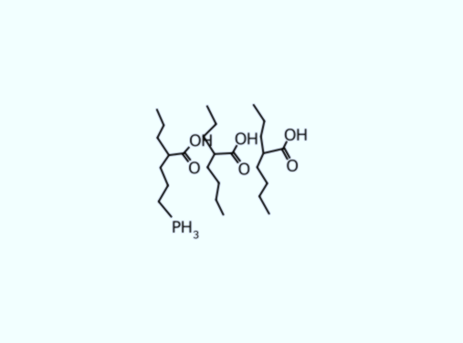 CCCCC(CCC)C(=O)O.CCCCC(CCC)C(=O)O.CCCCC(CCC)C(=O)O.P